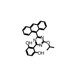 CC(C)Oc1nc(-c2c(O)cccc2O)nc(-c2c3ccccc3cc3ccccc23)n1